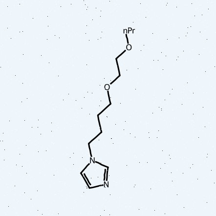 CCCOCCOCCCCn1c[c]nc1